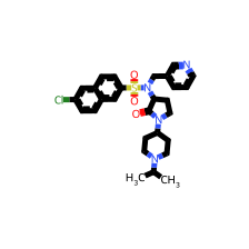 CC(C)N1CCC(N2CCC(N(Cc3cccnc3)S(=O)(=O)c3ccc4cc(Cl)ccc4c3)C2=O)CC1